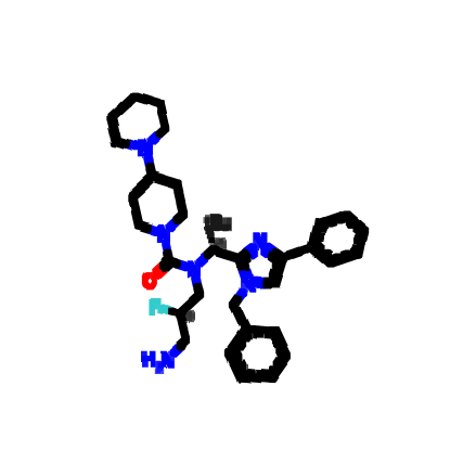 CC(C)(C)[C@H](c1nc(-c2ccccc2)cn1Cc1ccccc1)N(C[C@H](F)CN)C(=O)N1CCC(N2CCCCC2)CC1